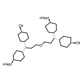 CCCCCCC[C@H]1CC[C@H](C(CCOCCC([C@H]2CC[C@H](C#N)CC2)[C@H]2CC[C@H](CCCCCCC)CC2)[C@H]2CC[C@H](C#N)CC2)CC1